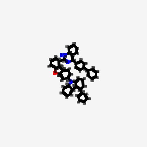 C1=CC2=C(c3ccc(-c4ccccc4)cc3)N=C(c3cccc4oc5cc(-n6c7ccccc7c7c(-c8ccccc8)cccc76)ccc5c34)NC2C=C1